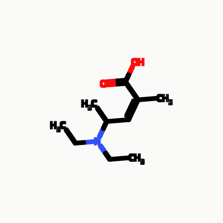 CCN(CC)C(C)C=C(C)C(=O)O